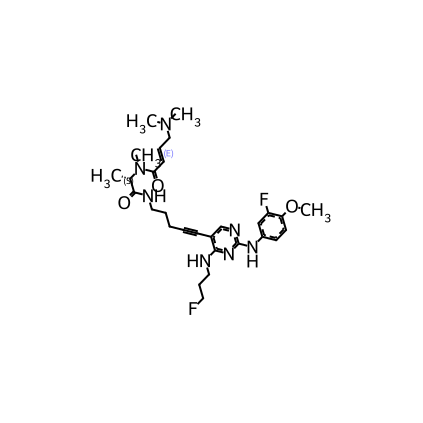 COc1ccc(Nc2ncc(C#CCCCNC(=O)[C@H](C)N(C)C(=O)/C=C/CN(C)C)c(NCCCF)n2)cc1F